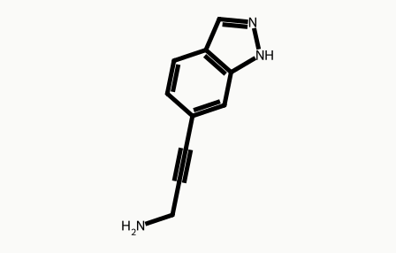 NCC#Cc1ccc2cn[nH]c2c1